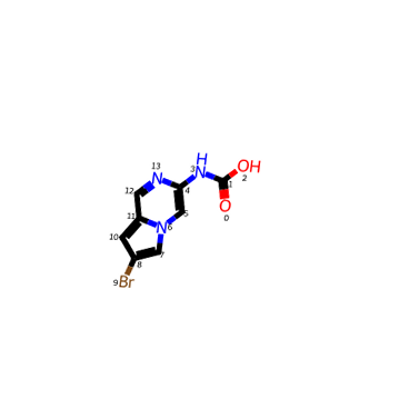 O=C(O)Nc1cn2cc(Br)cc2cn1